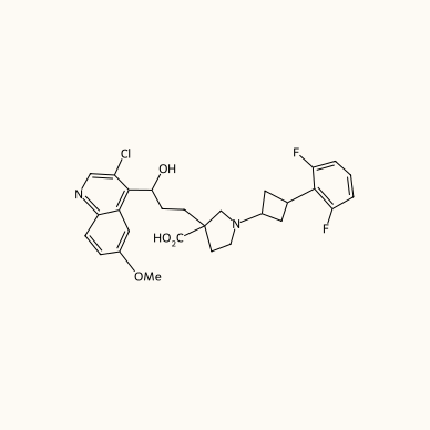 COc1ccc2ncc(Cl)c(C(O)CCC3(C(=O)O)CCN(C4CC(c5c(F)cccc5F)C4)C3)c2c1